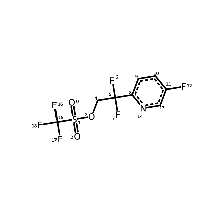 O=S(=O)(OCC(F)(F)c1ccc(F)cn1)C(F)(F)F